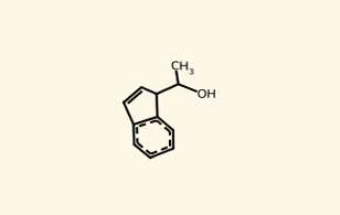 CC(O)C1C=Cc2ccccc21